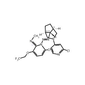 C/N=c1/c(OCC(F)(F)F)ccc(C(F)(F)F)n1/N=N/[C@@H]1[C@@H]2CC[C@H]1CN(c1ccnc(Cl)c1)C2